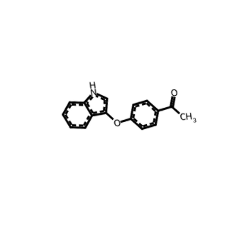 CC(=O)c1ccc(Oc2c[nH]c3ccccc23)cc1